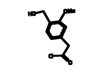 COc1cc(CC(=O)Cl)ccc1CO